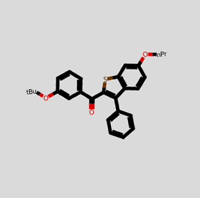 CCCOc1ccc2c(-c3ccccc3)c(C(=O)c3cccc(OC(C)(C)C)c3)sc2c1